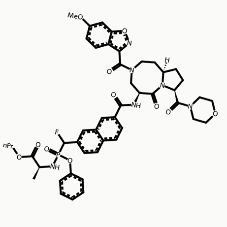 CCCOC(=O)[C@H](C)NP(=O)(Oc1ccccc1)C(F)c1ccc2ccc(C(=O)N[C@H]3CN(C(=O)c4noc5cc(OC)ccc45)CC[C@H]4CC[C@@H](C(=O)N5CCOCC5)N4C3=O)cc2c1